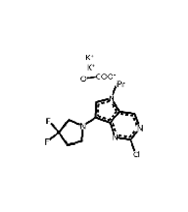 CC(C)n1cc(N2CCC(F)(F)C2)c2nc(Cl)ncc21.O=C([O-])[O-].[K+].[K+]